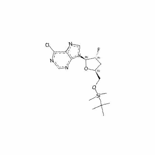 CC(C)(C)[Si](C)(C)OC[C@@H]1C[C@@H](F)[C@H](n2cnc3c(Cl)ncnc32)O1